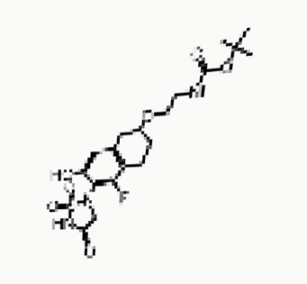 CC(C)(C)OC(=O)NCCOC1CCc2c(cc(O)c(N3CC(=O)NS3(=O)=O)c2F)C1